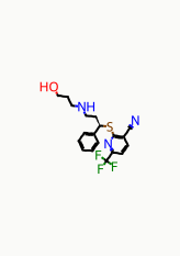 N#Cc1ccc(C(F)(F)F)nc1S[C@H](CCNCCCO)c1ccccc1